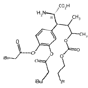 CCC(C)CC(=O)Oc1ccc(C(C(C)C(C)OC(=O)OCCC(C)C)[C@H](N)C(=O)O)cc1OC(=O)CC(C)CC